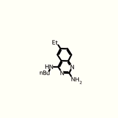 CCCCNc1nc(N)nc2ccc(CC)cc12